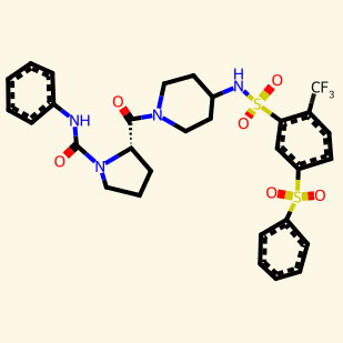 O=C([C@@H]1CCCN1C(=O)Nc1ccccc1)N1CCC(NS(=O)(=O)c2cc(S(=O)(=O)c3ccccc3)ccc2C(F)(F)F)CC1